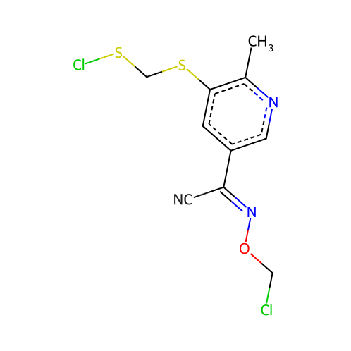 Cc1ncc(/C(C#N)=N/OCCl)cc1SCSCl